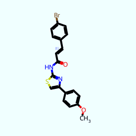 COc1ccc(-c2csc(NC(=O)/C=C/c3ccc(Br)cc3)n2)cc1